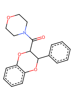 O=C(C1Oc2ccccc2OC1c1ccccc1)N1CCOCC1